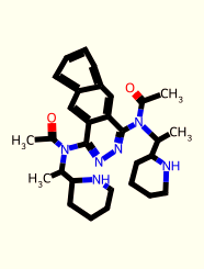 CC(=O)N(c1nnc(N(C(C)=O)C(C)C2CCCCN2)c2cc3ccccc3cc12)C(C)C1CCCCN1